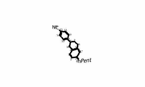 CCCCCC1CCC2=C(CCC(c3ccc(C#N)cc3)C2)C1